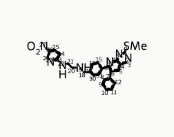 CSc1ncc2cc(-c3ccccc3)c(-c3ccc(CNCCNc4ccc([N+](=O)[O-])cn4)cc3)nc2n1